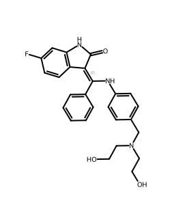 O=C1Nc2cc(F)ccc2/C1=C(/Nc1ccc(CN(CCO)CCO)cc1)c1ccccc1